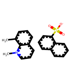 Cc1cccc2ccc[n+](C)c12.O=S(=O)([O-])c1cccc2ccccc12